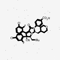 CC(C)(C)C[C@@H]1N2C(=C(c3cccc(Cl)c3F)[C@@]1(C#N)c1ccc(Cl)cc1F)C(=O)N(c1ccc(C(=O)O)cc1)[C@H]2CC1CCOCC1